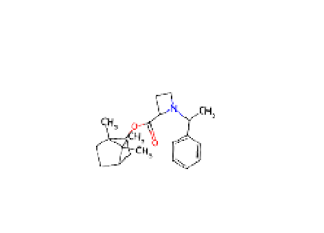 CC(c1ccccc1)N1CCC1C(=O)OC1CC2CCC1(C)C2(C)C